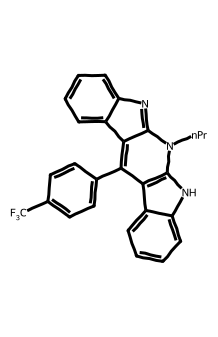 CCCn1c2nc3ccccc3c-2c(-c2ccc(C(F)(F)F)cc2)c2c3ccccc3[nH]c21